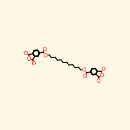 O=C(OCCCCCCCCCCCCOC(=O)c1ccc2c(c1)C(=O)OC2=O)c1ccc2c(c1)C(=O)OC2=O